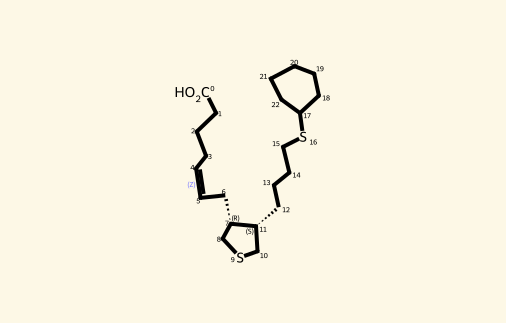 O=C(O)CCC/C=C\C[C@H]1CSC[C@H]1CCCCSC1CCCCC1